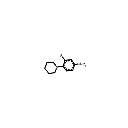 O=[N+]([O-])c1ccc(N2CC[CH]CC2)c(F)c1